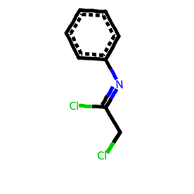 ClCC(Cl)=Nc1ccccc1